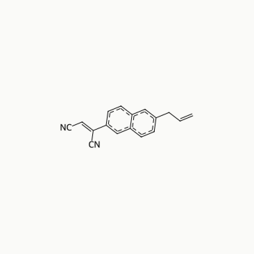 C=CCc1ccc2cc(/C(C#N)=C/C#N)ccc2c1